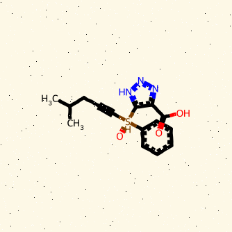 CC(C)CC#C[SH](=O)(c1ccccc1)c1[nH]nnc1C(=O)O